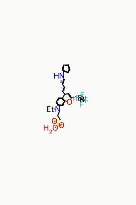 CCCCC1=CC(/C=C/C=C/Nc2ccccc2)c2ccc(N(CC)CCCS(=O)(=O)[OH2+])cc2O1.F[B-](F)(F)F